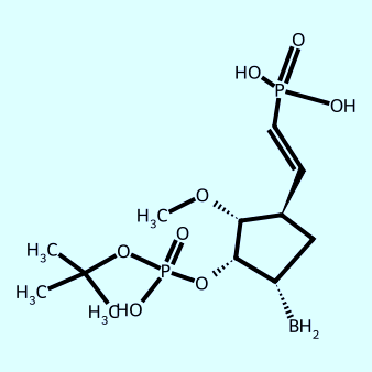 B[C@H]1C[C@H](/C=C/P(=O)(O)O)[C@@H](OC)[C@H]1OP(=O)(O)OC(C)(C)C